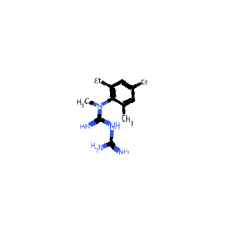 CCc1cc(C)c(N(C)C(=N)NC(=N)N)c(CC)c1